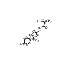 C=C(C)C(=O)OCC(=O)OC(C)(C)c1ccc(F)cc1